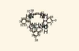 Cc1ccc(C2=C3NC(=CC3O)C(c3c(C)cc(C)cc3C)=c3ccc([nH]3)=C(c3ccccc3)C3=CC(C)(C)C(=Cc4ccc2[nH]4)N3)cc1